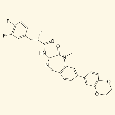 C[C@@H](Cc1ccc(F)c(F)c1)C(=O)NC1N=Cc2ccc(-c3ccc4c(c3)OCCO4)cc2N(C)C1=O